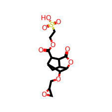 O=C(OCCS(=O)(=O)O)C1C2CC3C(OC(=O)C31)C2OCC1CO1